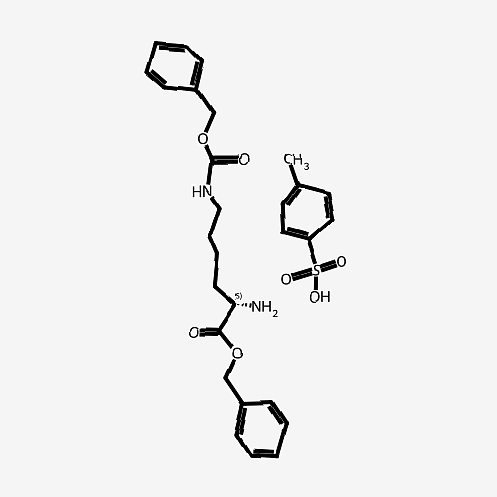 Cc1ccc(S(=O)(=O)O)cc1.N[C@@H](CCCCNC(=O)OCc1ccccc1)C(=O)OCc1ccccc1